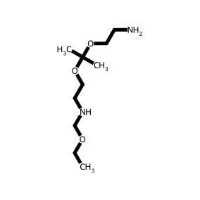 CCOCNCCOC(C)(C)OCCN